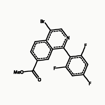 COC(=O)c1ccc2c(Br)cnc(-c3c(F)cc(F)cc3F)c2c1